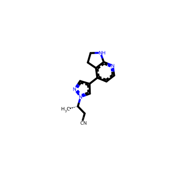 C[C@@H](CC#N)n1cc(-c2ccnc3c2CCN3)cn1